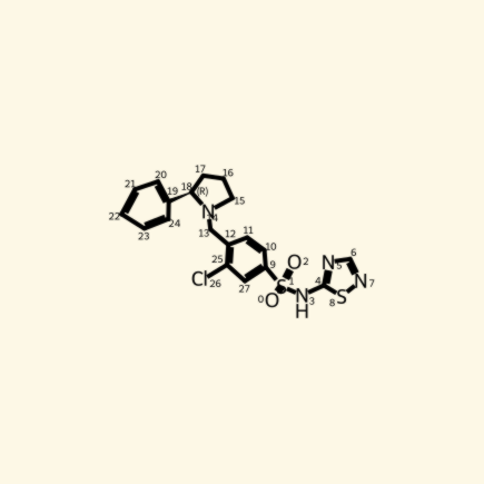 O=S(=O)(Nc1ncns1)c1ccc(CN2CCC[C@@H]2c2ccccc2)c(Cl)c1